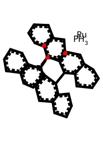 P.[Ru].c1ccc(P(c2ccccc2)c2ccc3ccccc3c2-c2c(P(c3ccccc3)c3ccccc3)ccc3ccccc23)cc1